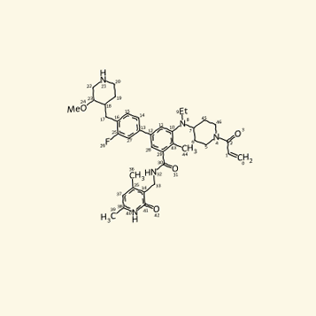 C=CC(=O)N1CCC(N(CC)c2cc(-c3ccc(CC4CCNCC4OC)c(F)c3)cc(C(=O)NCc3c(C)cc(C)[nH]c3=O)c2C)CC1